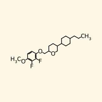 CCCC1CCC(C2CCC(COc3ccc(OC)c(F)c3F)OC2)CC1